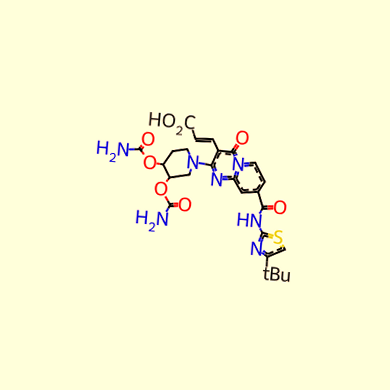 CC(C)(C)c1csc(NC(=O)c2ccn3c(=O)c(C=CC(=O)O)c(N4CCC(OC(N)=O)C(OC(N)=O)C4)nc3c2)n1